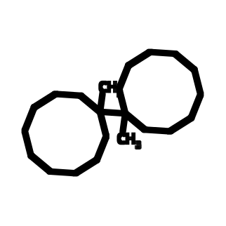 CC1(C2(C)CCCCCCCCC2)CCCCCCCCC1